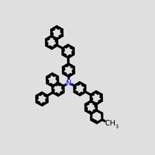 CC1C=Cc2ccc3c(-c4ccc(N(c5ccc(-c6cccc(-c7cccc8ccccc78)c6)cc5)c5ccc(-c6ccccc6)c6ccccc56)cc4)cccc3c2C1